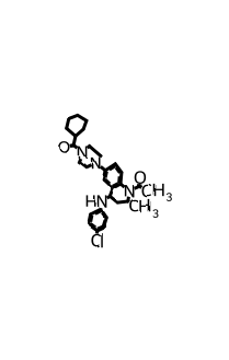 CC(=O)N1c2ccc(N3CCN(C(=O)C4CCCCC4)CC3)cc2C(Nc2ccc(Cl)cc2)CC1C